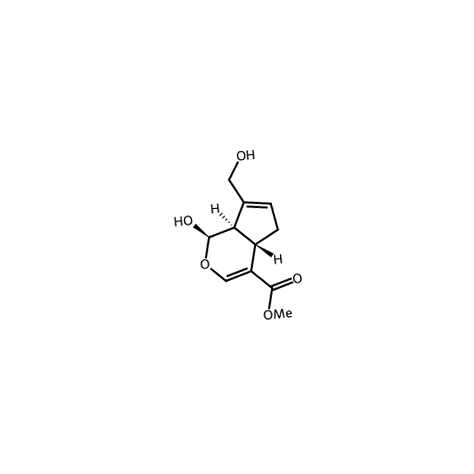 COC(=O)C1=CO[C@@H](O)[C@H]2C(CO)=CC[C@H]12